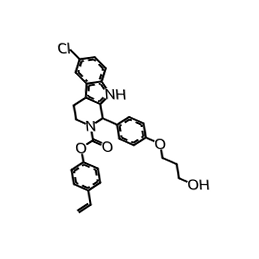 C=Cc1ccc(OC(=O)N2CCc3c([nH]c4ccc(Cl)cc34)C2c2ccc(OCCCO)cc2)cc1